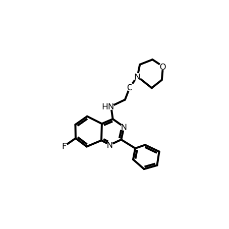 Fc1ccc2c(NCCN3CCOCC3)nc(-c3ccccc3)nc2c1